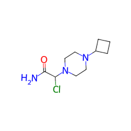 NC(=O)C(Cl)N1CCN(C2CCC2)CC1